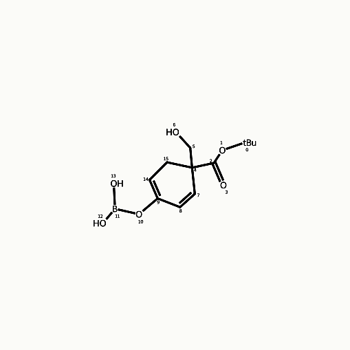 CC(C)(C)OC(=O)C1(CO)C=CC(OB(O)O)=CC1